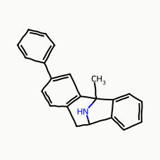 CC12NC(Cc3ccc(-c4ccccc4)cc31)c1ccccc12